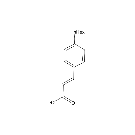 CCCCCCc1ccc(/C=C/C([O])=O)cc1